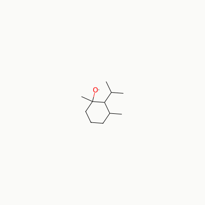 CC(C)C1C(C)CCCC1(C)[O]